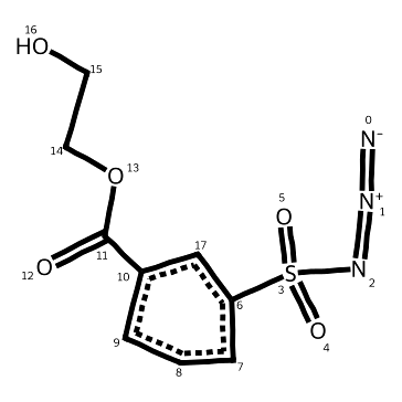 [N-]=[N+]=NS(=O)(=O)c1cccc(C(=O)OCCO)c1